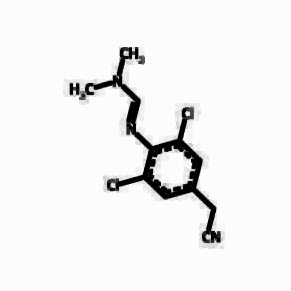 CN(C)C=Nc1c(Cl)cc(CC#N)cc1Cl